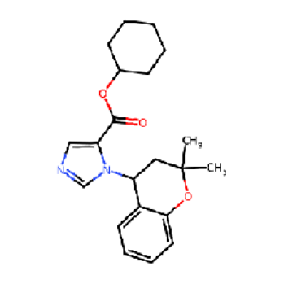 CC1(C)CC(n2cncc2C(=O)OC2CCCCC2)c2ccccc2O1